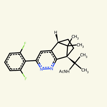 CC(=O)NC(C)(C)[C@@]12CC[C@@H](c3cc(-c4c(F)cccc4F)nnc31)C2(C)C